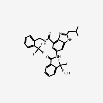 CC(C)Cc1nc2c(C(=O)NCc3ccccc3C(F)(F)F)cc(NC(=O)c3ccccc3C(F)(F)F)cc2[nH]1.Cl